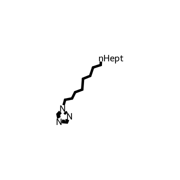 CCCCCCCCCCCCCCCn1cncn1